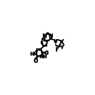 CC1(C)CN(c2ncnn3cc(-c4c[nH]c(=O)[nH]c4=O)cc23)CC1(F)F